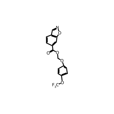 O=C(OCOc1ccc(OC(F)(F)F)cc1)c1ccc2cnoc2c1